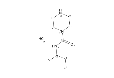 CCC(C)NC(=O)N1CCNCC1.Cl